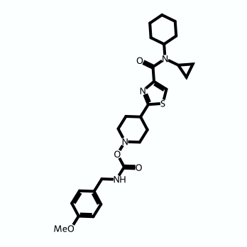 COc1ccc(CNC(=O)ON2CCC(c3nc(C(=O)N(C4CCCCC4)C4CC4)cs3)CC2)cc1